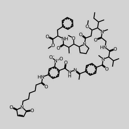 CCC(C)C(C(CC(=O)N1CCCC1C(OC)C(C)C(=O)NC(Cc1ccccc1)C(=O)OC)OC)N(C)C(=O)CNC(=O)C(C(C)C)N(C)C(=O)c1ccc(/C(C)=N/NC(=O)c2ccc(NC(=O)CCCCCN3C(=O)C=CC3=O)cc2[N+](=O)[O-])cc1